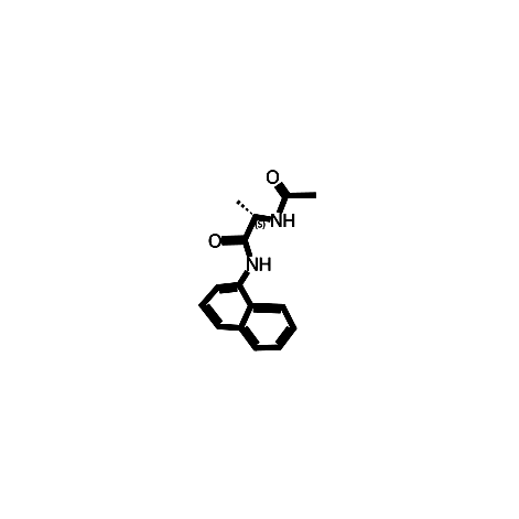 CC(=O)N[C@@H](C)C(=O)Nc1cccc2ccccc12